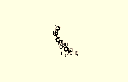 CC(C)(C)c1ccc(C(=O)Nc2cn3cc(-c4cnn(-c5cccnc5)c4)ccc3n2)cc1